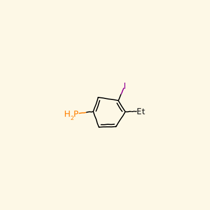 CCc1ccc(P)cc1I